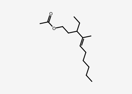 CCCCC/C=C(\C)C(CC)CCOC(C)=O